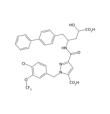 O=C(NC(Cc1ccc(-c2ccccc2)cc1)CC(O)C(=O)O)c1cc(C(=O)O)n(Cc2ccc(Cl)c(OC(F)(F)F)c2)n1